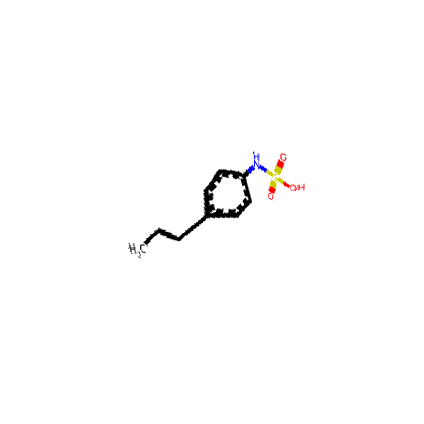 [CH2]CCc1ccc(NS(=O)(=O)O)cc1